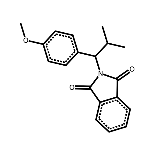 COc1ccc(C(C(C)C)N2C(=O)c3ccccc3C2=O)cc1